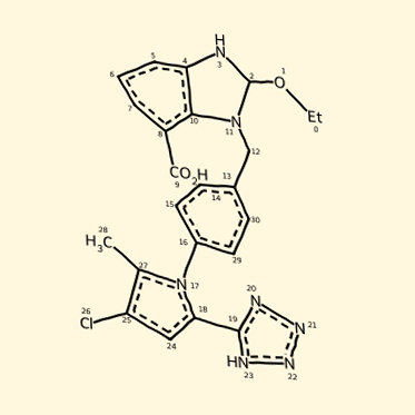 CCOC1Nc2cccc(C(=O)O)c2N1Cc1ccc(-n2c(-c3nnn[nH]3)cc(Cl)c2C)cc1